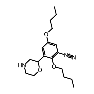 CCCCOc1cc([N+]#N)c(OCCCC)c(C2CNCCO2)c1